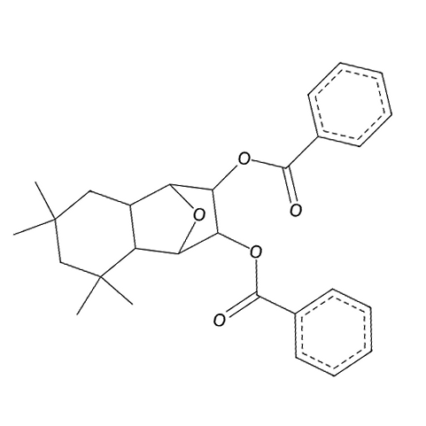 CC1(C)CC2C3OC(C(OC(=O)c4ccccc4)C3OC(=O)c3ccccc3)C2C(C)(C)C1